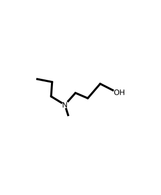 CCCN(C)CCCO